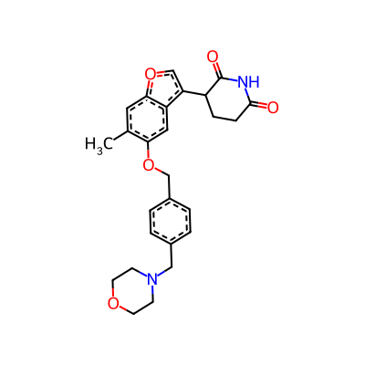 Cc1cc2occ(C3CCC(=O)NC3=O)c2cc1OCc1ccc(CN2CCOCC2)cc1